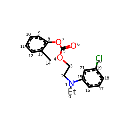 CCN(CCOC(=O)Oc1ccccc1C)c1cccc(Cl)c1